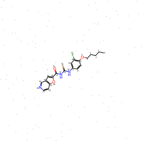 CCCCCOc1ccc(NC(=S)NC(=O)c2cc3cnccc3o2)cc1F